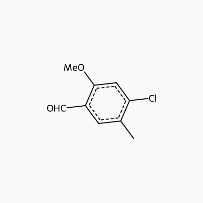 COc1cc(Cl)c(C)cc1C=O